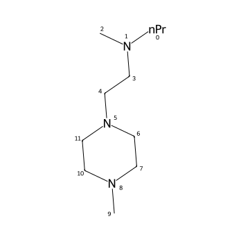 CCCN(C)CCN1CCN(C)CC1